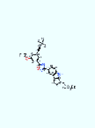 CCOC(=O)CC1CCc2c1[nH]c1ccc(-c3noc(-c4cc(C#C[Si](C)(C)C)cc(OC(F)(F)F)c4)n3)cc21